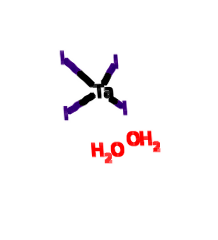 O.O.[I][Ta]([I])([I])[I]